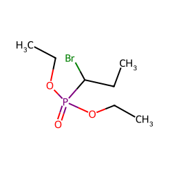 CCOP(=O)(OCC)C(Br)CC